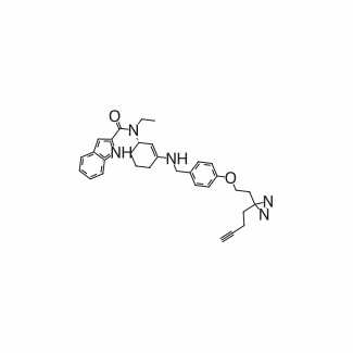 C#CCCC1(CCOc2ccc(CNC3=C[C@@H](N(CC)C(=O)c4cc5ccccc5[nH]4)CCC3)cc2)N=N1